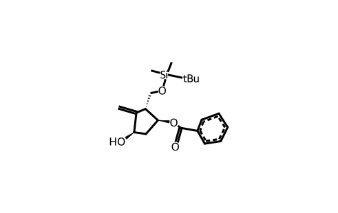 C=C1[C@H](O)C[C@H](OC(=O)c2ccccc2)[C@H]1CO[Si](C)(C)C(C)(C)C